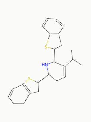 CC(C)C1=CCC(C2CC3=C(C=CCC3)S2)NC1C1CC2C=CC=CC2S1